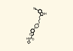 N#Cc1ccc2[nH]cc(CCCCN3CCN(c4ccc5oc(C(=O)NC6CCC6)cc5c4)CC3)c2c1